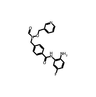 Nc1ccc(F)cc1NC(=O)c1ccc(CN(C=O)OCc2cccnc2)cc1